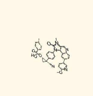 COc1ccc(-c2ccc3ncc4c(c3c2)n(-c2ccc(C3(C#N)CC3)cc2)c(=O)n4C)cn1.Cc1ccc(S(=O)(=O)O)cc1